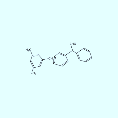 Cc1cc(C)cc(C)c1.O=CP(c1ccccc1)c1ccccc1